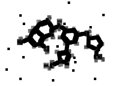 CN1CC[C@@H](Oc2cc(Nc3ncc4cc(Br)cc(Cl)c4n3)cc(-c3cnn(C)c3)c2)C1